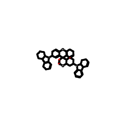 C1=CC2=C(CC1)OC1=CCC(N3C4=C(CCC=C4)C4CCCCC43)C=C1C21C2CCCC=C2OC2CC(N3c4ccccc4C4C=CCCC43)CCC21